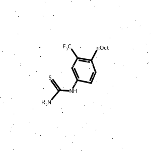 CCCCCCCCc1ccc(NC(N)=S)cc1C(F)(F)F